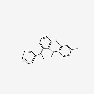 Cc1ccc(C(C)c2ccccc2C(C)c2ccccc2)c(C)c1